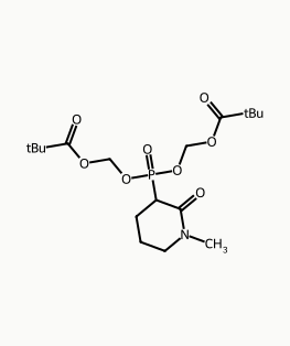 CN1CCCC(P(=O)(OCOC(=O)C(C)(C)C)OCOC(=O)C(C)(C)C)C1=O